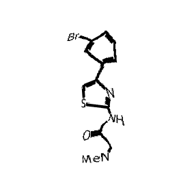 CNCC(=O)Nc1nc(-c2cccc(Br)c2)cs1